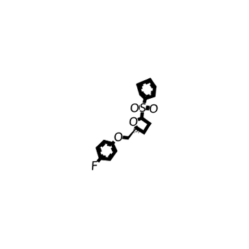 O=S(=O)(c1ccccc1)C1CC[C@@H](COc2ccc(F)cc2)O1